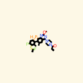 C=CC(=O)N1CCN(c2nc(OC)nc3c(P)c(-c4ccc(F)c(SC(=C)F)c4C)c(C)cc23)CC1